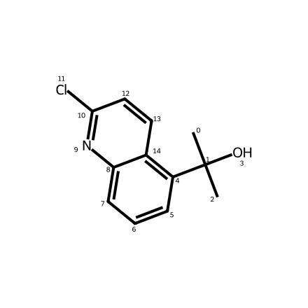 CC(C)(O)c1cccc2nc(Cl)ccc12